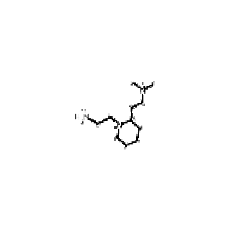 CN(C)CCC1CCCCN1CCN